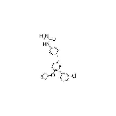 NC(=O)Nc1ccc(Cc2ccc(OC3CSC3)c(-c3cccc(Cl)c3)c2)cc1